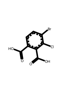 O=C(O)c1ccc(Br)c(Cl)c1C(=O)O